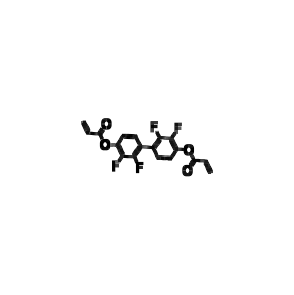 C=CC(=O)Oc1ccc(-c2ccc(OC(=O)C=C)c(F)c2F)c(F)c1F